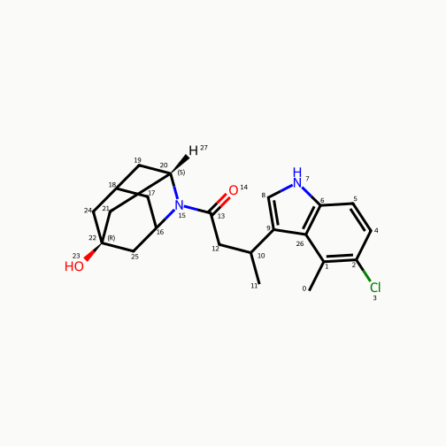 Cc1c(Cl)ccc2[nH]cc(C(C)CC(=O)N3C4CC5C[C@H]3C[C@@](O)(C5)C4)c12